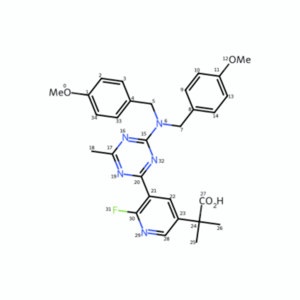 COc1ccc(CN(Cc2ccc(OC)cc2)c2nc(C)nc(-c3cc(C(C)(C)C(=O)O)cnc3F)n2)cc1